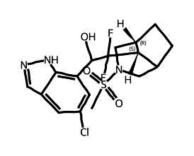 CS(=O)(=O)N1CC2CC[C@@H](C1)[C@H]2C(F)(F)C(O)c1cc(Cl)cc2cn[nH]c12